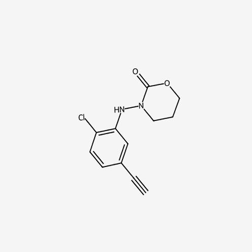 C#Cc1ccc(Cl)c(NN2CCCOC2=O)c1